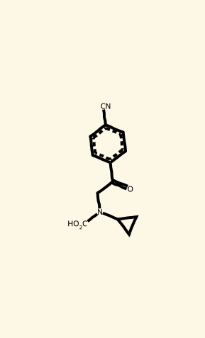 N#Cc1ccc(C(=O)CN(C(=O)O)C2CC2)cc1